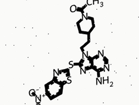 CC(=O)N1CCC(CCn2c(Sc3nc4cc([N+](=O)[O-])ccc4s3)nc3c(N)ncnc32)CC1